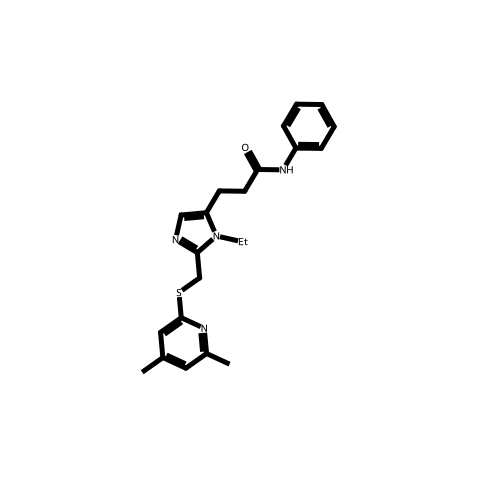 CCn1c(CCC(=O)Nc2ccccc2)cnc1CSc1cc(C)cc(C)n1